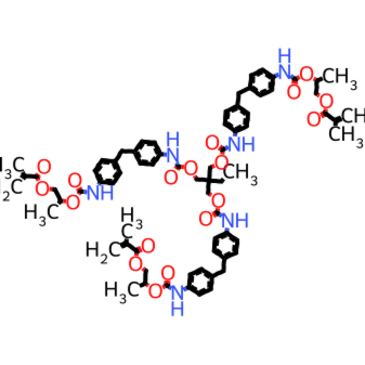 C=C(C)C(=O)OCC(C)OC(=O)Nc1ccc(Cc2ccc(NC(=O)OCC(CC)(COC(=O)Nc3ccc(Cc4ccc(NC(=O)OC(C)COC(=O)C(=C)C)cc4)cc3)COC(=O)Nc3ccc(Cc4ccc(NC(=O)OC(C)COC(=O)C(=C)C)cc4)cc3)cc2)cc1